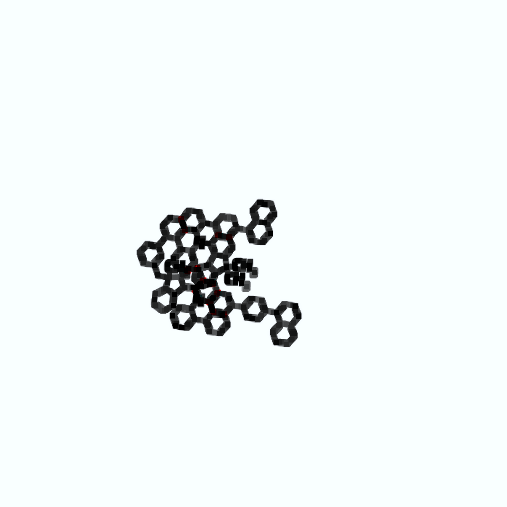 CC1(C)c2ccccc2-c2c(N(c3ccccc3-c3ccc(-c4cccc5ccccc45)cc3)c3ccccc3-c3ccccc3-c3cccc(CC4(C)c5ccccc5-c5c(N(c6ccc(-c7ccc(-c8cccc9ccccc89)cc7)cc6)c6ccccc6-c6ccccc6-c6ccccc6)cccc54)c3)cccc21